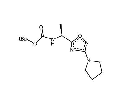 C[C@H](NC(=O)OC(C)(C)C)c1nc(N2CCCC2)no1